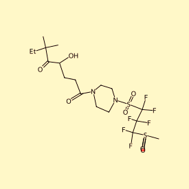 CCC(C)(C)C(=O)C(O)CCC(=O)N1CCN(S(=O)(=O)C(F)(F)C(F)(F)C(F)(F)S(C)(=O)=O)CC1